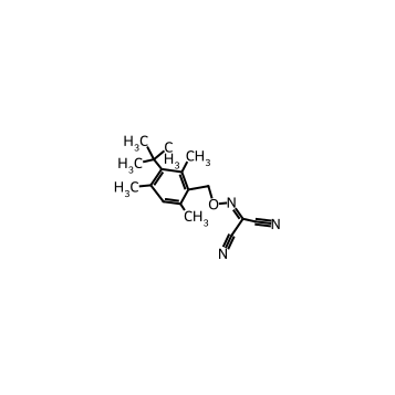 Cc1cc(C)c(C(C)(C)C)c(C)c1CON=C(C#N)C#N